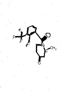 C[C@H]1CC(=O)CCN1C(=O)c1cccc(C(F)(F)F)c1F